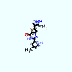 Cc1[nH]ncc1-c1cc2nc(C3CC(C)CCN3)[nH]c(=O)c2s1